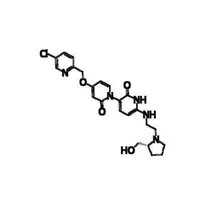 O=c1[nH]c(NCCN2CCC[C@@H]2CO)ccc1-n1ccc(OCc2ccc(Cl)cn2)cc1=O